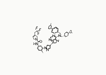 COc1ccc(CN(Cc2ccc(OC)cc2)c2ncnn3c(-c4cnn(-c5cc(NC(=O)N6CC=C(CC(F)(F)F)C6)ccc5C)c4)cnc23)cc1